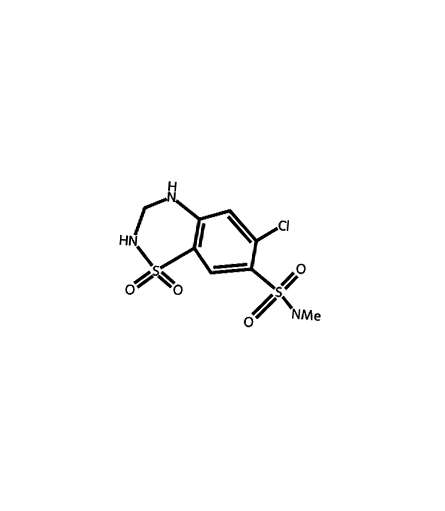 CNS(=O)(=O)c1cc2c(cc1Cl)NCNS2(=O)=O